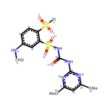 CCS(=O)(=O)c1ccc(NC=O)cc1S(=O)(=O)NC(=O)Nc1nc(OC)cc(OC)n1